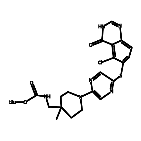 CC1(CNC(=O)OC(C)(C)C)CCN(c2cnc(Sc3ccc4nc[nH]c(=O)c4c3Cl)cn2)CC1